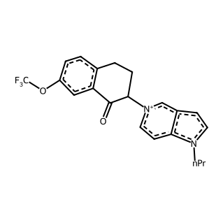 CCCn1ccc2c[n+](C3CCc4ccc(OC(F)(F)F)cc4C3=O)ccc21